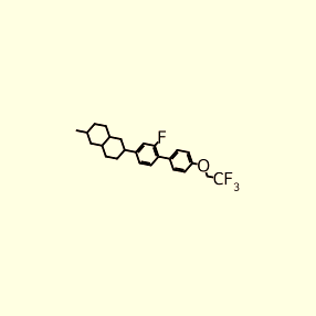 CC1CCC2CC(c3ccc(-c4ccc(OCC(F)(F)F)cc4)c(F)c3)CCC2C1